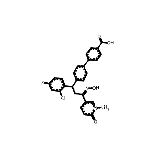 Cn1cc(C(CC(c2ccc(-c3ccc(C(=O)O)cc3)cc2)c2ccc(F)cc2Cl)=NO)ccc1=O